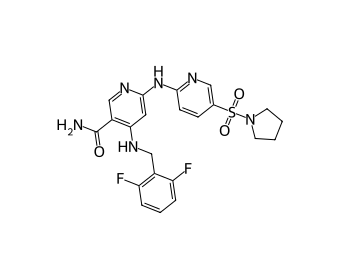 NC(=O)c1cnc(Nc2ccc(S(=O)(=O)N3CCCC3)cn2)cc1NCc1c(F)cccc1F